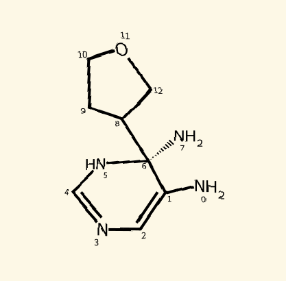 NC1=CN=CN[C@@]1(N)C1CCOC1